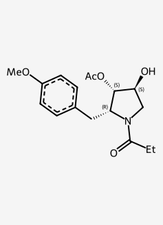 CCC(=O)N1C[C@H](O)[C@@H](OC(C)=O)[C@H]1Cc1ccc(OC)cc1